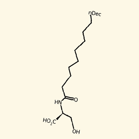 CCCCCCCCCCCCCCCCCCC(=O)N[C@@H](CO)C(=O)O